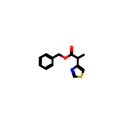 CC(C(=O)OCc1ccccc1)c1cscn1